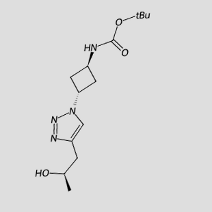 C[C@@H](O)Cc1cn([C@H]2C[C@H](NC(=O)OC(C)(C)C)C2)nn1